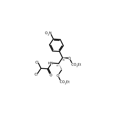 CCOC(=O)OC[C@H](NC(=O)C(Cl)Cl)[C@H](OC(=O)OCC)c1ccc([N+](=O)[O-])cc1